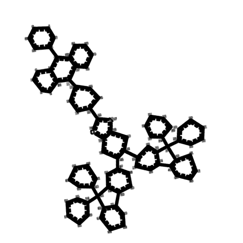 c1ccc(-c2c3ccccc3c(-c3ccc(-c4nc5cc(-c6ccc7c(c6)C(c6ccccc6)(c6ccccc6)c6ccccc6-7)c(-c6ccc7c(c6)C(c6ccccc6)(c6ccccc6)c6ccccc6-7)cc5o4)cc3)c3ccccc23)cc1